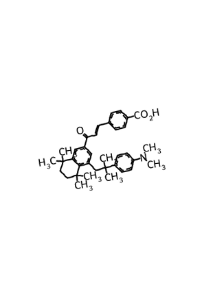 CN(C)c1ccc(C(C)(C)Cc2cc(C(=O)C=Cc3ccc(C(=O)O)cc3)cc3c2C(C)(C)CCC3(C)C)cc1